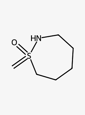 C=S1(=O)CCCCCN1